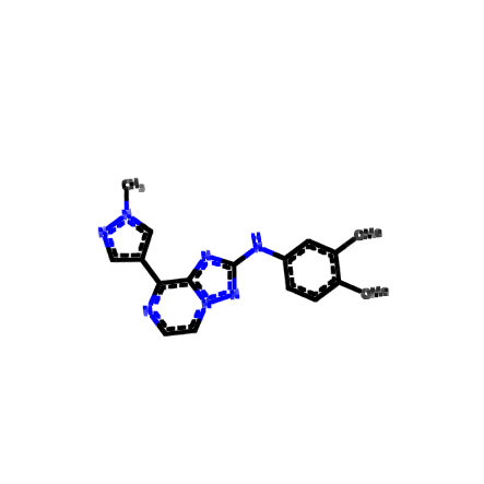 COc1ccc(Nc2nc3c(-c4cnn(C)c4)nccn3n2)cc1OC